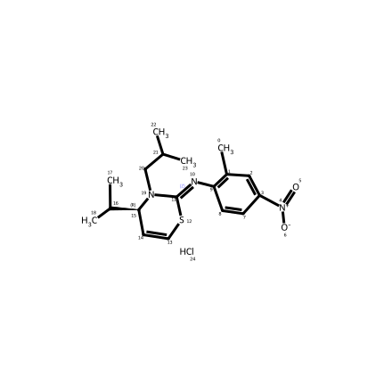 Cc1cc([N+](=O)[O-])ccc1/N=C1\SC=C[C@@H](C(C)C)N1CC(C)C.Cl